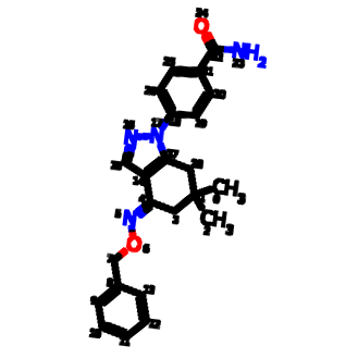 CC1(C)CC(=NOCc2ccccc2)c2cnn(-c3ccc(C(N)=O)cc3)c2C1